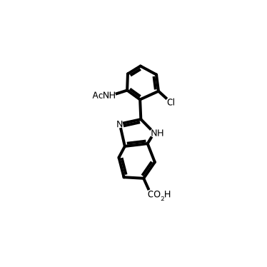 CC(=O)Nc1cccc(Cl)c1-c1nc2ccc(C(=O)O)cc2[nH]1